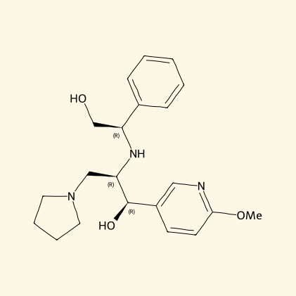 COc1ccc([C@@H](O)[C@@H](CN2CCCC2)N[C@@H](CO)c2ccccc2)cn1